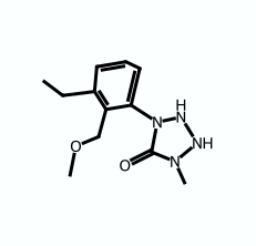 CCc1cccc(N2NNN(C)C2=O)c1COC